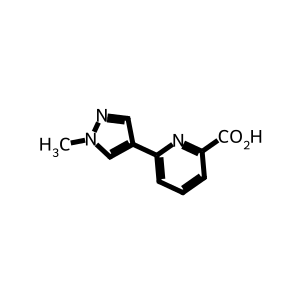 Cn1cc(-c2cccc(C(=O)O)n2)cn1